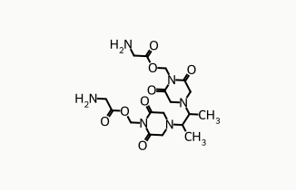 CC(C(C)N1CC(=O)N(COC(=O)CN)C(=O)C1)N1CC(=O)N(COC(=O)CN)C(=O)C1